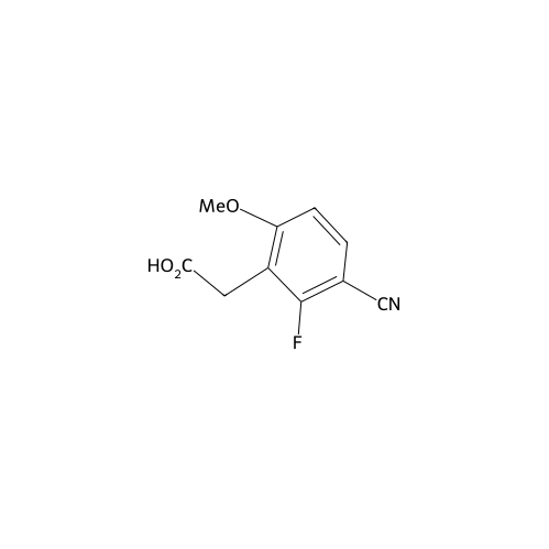 COc1ccc(C#N)c(F)c1CC(=O)O